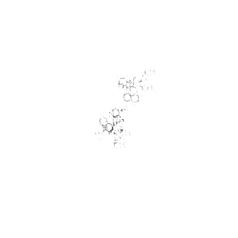 CCOC(=O)C(C)Sc1nc2cccnc2n1-c1ccc(C2CC2c2ccnc3c2nc(SC(C)(C)C(=O)OCC)n3-c2ccc(C3CC3)c3ccccc23)c2ccccc12